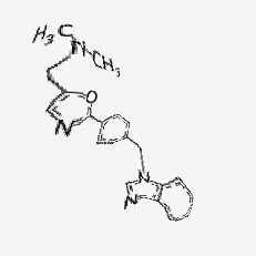 CN(C)Cc1cnc(-c2ccc(Cn3cnc4ccccc43)cc2)o1